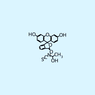 CC(O)N=C=S.O=C1OC2(c3ccc(O)cc3Oc3cc(O)ccc32)c2ccccc21